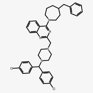 Clc1ccc(C(c2ccc(Cl)cc2)N2CCN(Cc3nc(N4CCCC(Cc5ccccc5)CC4)c4ccccc4n3)CC2)cc1